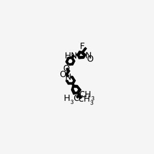 CC(C)(C)c1ccc(C2CCN(C(=O)COC3CCC(Nc4ccc(N=O)c(CF)c4)CC3)CC2)cc1